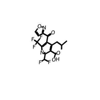 CC(C)Cc1c(C(=O)O)c(C(F)F)nc(C(F)(F)F)c1C(=O)c1ccon1